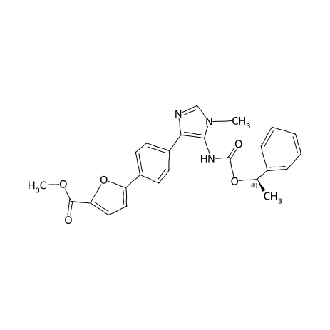 COC(=O)c1ccc(-c2ccc(-c3ncn(C)c3NC(=O)O[C@H](C)c3ccccc3)cc2)o1